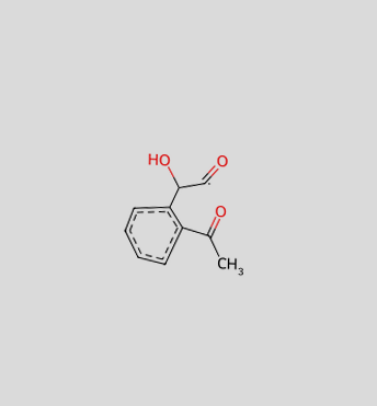 CC(=O)c1ccccc1C(O)[C]=O